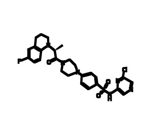 C[C@H](C(=O)N1CCN(c2ccc(S(=O)(=O)Nc3cncc(Cl)n3)cc2)CC1)N1CCCc2cc(F)ccc21